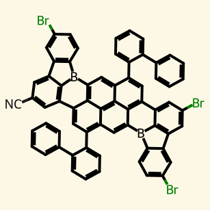 N#Cc1cc2c3c(c1)-c1cc(-c4ccccc4-c4ccccc4)c4cc5c6c(cc(-c7ccccc7-c7ccccc7)c7cc(c1c4c76)B3c1ccc(Br)cc1-2)-c1cc(Br)cc2c1B5c1ccc(Br)cc1-2